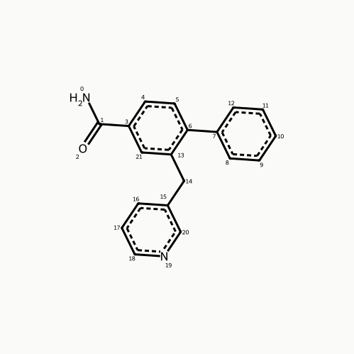 NC(=O)c1ccc(-c2ccccc2)c(Cc2cccnc2)c1